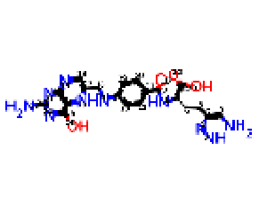 N=N/C(=C\N)CC[C@H](NC(=O)c1ccc(NCc2cnc3nc(N)nc(O)c3n2)cc1)C(=O)O